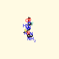 Cc1nc(Oc2ccc(N)c3cccnc23)c(-c2ccnc(N[C@H]3C[C@H](F)CN(C(=O)OC(C)(C)C)C3)n2)s1